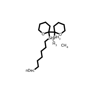 C.CCCCCCCCCCCCCCCC[SiH](C)C1(C2([SiH3])CCCCO2)CCCCO1